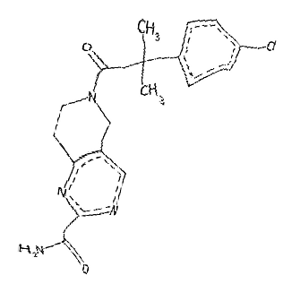 CC(C)(C(=O)N1CCc2nc(C(N)=O)ncc2C1)c1ccc(Cl)cc1